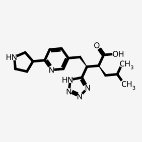 CC(C)C[C@H](C(=O)O)[C@H](Cc1ccc(C2CCNC2)nc1)c1nnn[nH]1